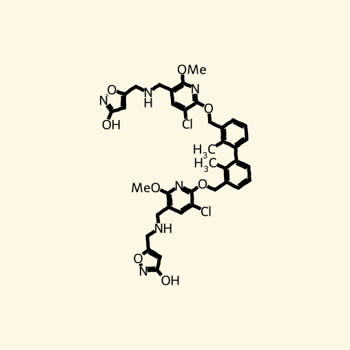 COc1nc(OCc2cccc(-c3cccc(COc4nc(OC)c(CNCc5cc(O)no5)cc4Cl)c3C)c2C)c(Cl)cc1CNCc1cc(O)no1